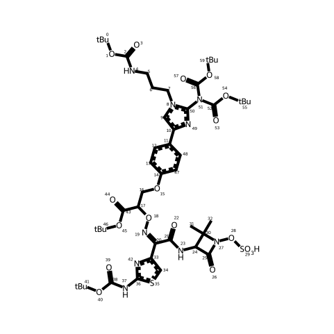 CC(C)(C)OC(=O)NCCCn1cc(-c2ccc(OCC(O/N=C(\C(=O)NC3C(=O)N(OS(=O)(=O)O)C3(C)C)c3csc(NC(=O)OC(C)(C)C)n3)C(=O)OC(C)(C)C)cc2)nc1N(C(=O)OC(C)(C)C)C(=O)OC(C)(C)C